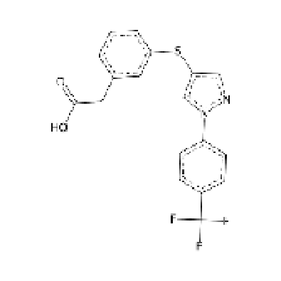 O=C(O)Cc1cccc(Sc2cnn(-c3ccc(C(F)(F)F)cc3)c2)c1